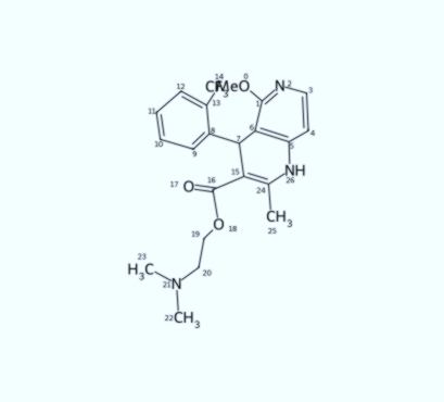 COc1nccc2c1C(c1ccccc1C(F)(F)F)C(C(=O)OCCN(C)C)=C(C)N2